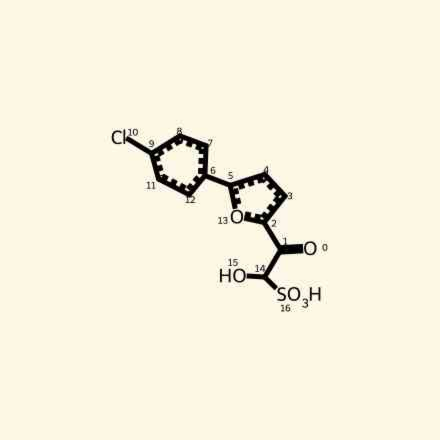 O=C(c1ccc(-c2ccc(Cl)cc2)o1)C(O)S(=O)(=O)O